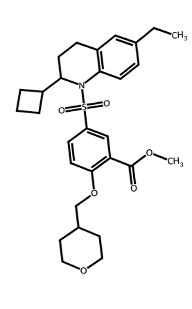 CCc1ccc2c(c1)CCC(C1CCC1)N2S(=O)(=O)c1ccc(OCC2CCOCC2)c(C(=O)OC)c1